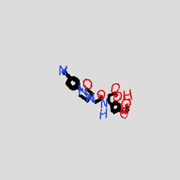 N#Cc1ccc(N2CCN(CC(=O)NC(CC(=O)O)c3ccc4c(c3)OCO4)CC2=O)cc1